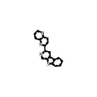 c1cnc2ccc(-c3cc4c(cn3)sc3ccccc34)nc2c1